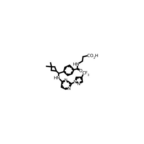 CC1(C)CC(C(Nc2ccnc(-n3cc(C(F)(F)F)cn3)n2)c2ccc(C(=O)NCCC(=O)O)cc2)C1